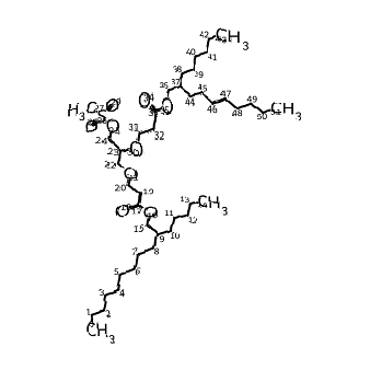 CCCCCCCCCC(CCCCC)COC(=O)CCOCC(COS(C)(=O)=O)OCCC(=O)OCC(CCCCCC)CCCCCCCC